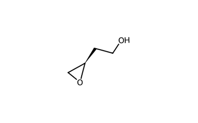 OCC[C@@H]1CO1